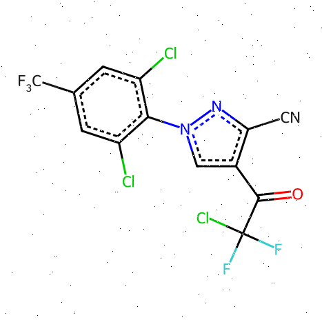 N#Cc1nn(-c2c(Cl)cc(C(F)(F)F)cc2Cl)cc1C(=O)C(F)(F)Cl